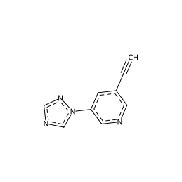 C#Cc1cncc(-n2cncn2)c1